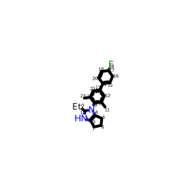 CCC1NC2=C(CCC2)N1c1c(C)cc(C2=CCC(F)C=C2)cc1C